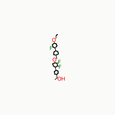 C=CCOc1ccc(-c2ccc(COc3ccc(-c4ccc(C(C)O)cc4)c(F)c3F)cc2)c(F)c1